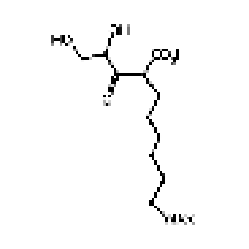 CCCCCCCCCCCCCCCCC(C(=O)O)C(=O)C(O)CO